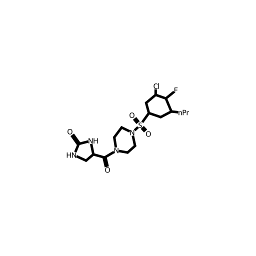 CCCC1CC(S(=O)(=O)N2CCN(C(=O)C3CNC(=O)N3)CC2)CC(Cl)C1F